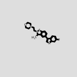 CC1c2cc(C3=CN=C4CC(F)=CC=C34)ccc2SN1CCN1CCOCC1